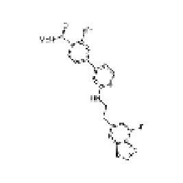 CCCc1cc(-c2cc(NCCc3cc(F)c4sccc4c3)ncn2)ccc1C(=O)NC